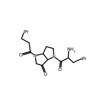 CC(C)CCC(=O)N1CC(=O)C2C1CCN2C(=O)C(N)CC(C)C